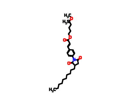 CCCCCCCCCCC1CC(=O)N(c2ccc(C=CC(=O)OCCCC[SiH2]OC)cc2)C1=O